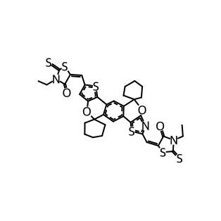 CCN1C(=O)/C(=C\c2cc3c(s2)-c2cc4c(cc2C2(CCCCC2)O3)-c2sc(/C=C3/SC(=S)N(CC)C3=O)nc2OC42CCCCC2)SC1=S